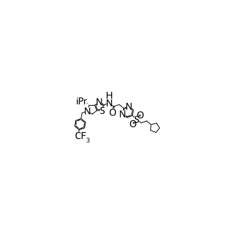 CC(C)[C@@H]1c2nc(NC(=O)Cc3ncc(S(=O)(=O)CCC4CCCC4)cn3)sc2CN1Cc1ccc(C(F)(F)F)cc1